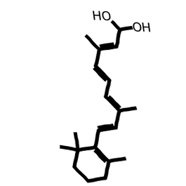 CC(C=CC1=C(C)CCCC1(C)C)=CC=CC(C)=CC(O)O